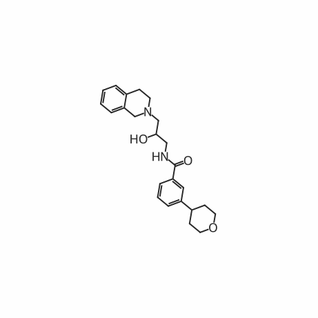 O=C(NCC(O)CN1CCc2ccccc2C1)c1cccc(C2CCOCC2)c1